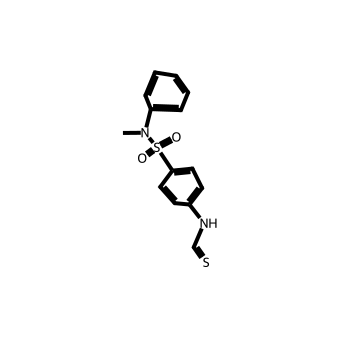 CN(c1ccccc1)S(=O)(=O)c1ccc(NC=S)cc1